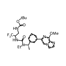 CCN(C(=O)NC(CNC(=O)OC(C)(C)C)C(F)(F)F)[C@H](C)c1cccc(-c2cn3ccnc3c(OC)n2)c1